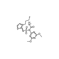 COc1nc(OC)nc(N(C(N)=O)S(=O)(=O)/N=c2/sccn2CCCF)n1